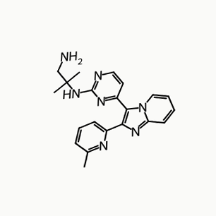 Cc1cccc(-c2nc3ccccn3c2-c2ccnc(NC(C)(C)CN)n2)n1